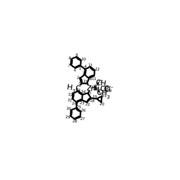 CC1=Cc2c(-c3ccccc3)cccc2[CH]1[Zr+2]([CH]1C(C2CC2)=Cc2c(-c3ccccc3)cccc21)=[Si](C)C.[Cl-].[Cl-]